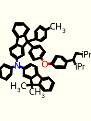 Cc1ccc(C2(c3ccc(Oc4ccc(C(CC(C)C)C(C)C)cc4)cc3)c3ccccc3-c3ccc(N(c4ccccc4)c4ccc5c(c4)C(C)(C)c4ccccc4-5)cc32)cc1